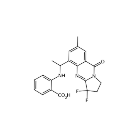 Cc1cc(C(C)Nc2ccccc2C(=O)O)c2nc3n(c(=O)c2c1)CCC3(F)F